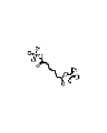 CCS(=O)(=O)OC(=O)CCCCC(=O)OS(=O)(=O)CC